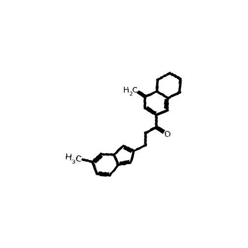 C=C1C=C(C(=O)CCC2=CC3C=C(C)C=CC3=C2)C=C2CCCCC12